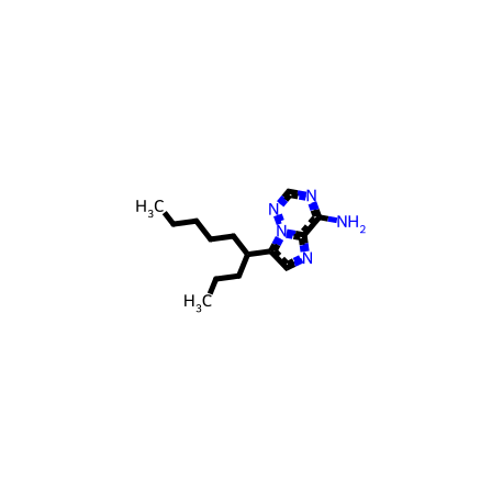 CCCCCC(CCC)c1cnc2c(N)ncnn12